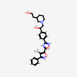 OCCC1CCCN(CC(O)c2ccc(-c3noc(-c4onc(-c5ccccc5)c4C(F)(F)F)n3)cc2)C1